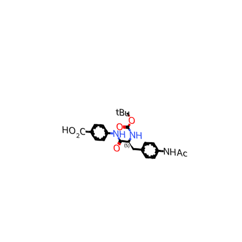 CC(=O)Nc1ccc(C[C@H](NC(=O)OC(C)(C)C)C(=O)Nc2ccc(C(=O)O)cc2)cc1